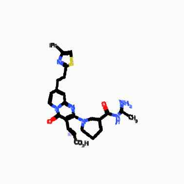 CC(N)NC(=O)C1CCCN(c2nc3cc(CCc4nc(C(C)C)cs4)ccn3c(=O)c2/C=C/C(=O)O)C1